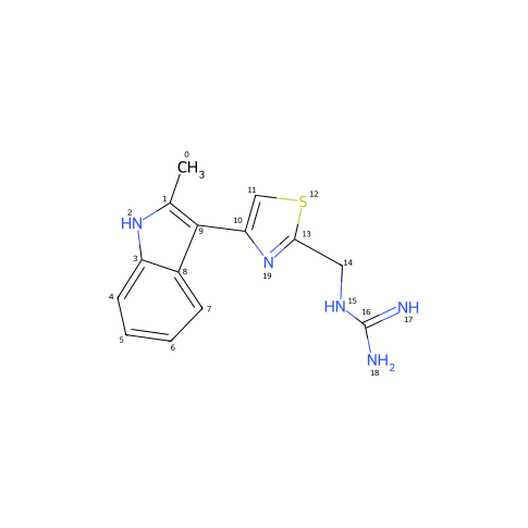 Cc1[nH]c2ccccc2c1-c1csc(CNC(=N)N)n1